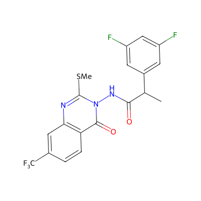 CSc1nc2cc(C(F)(F)F)ccc2c(=O)n1NC(=O)C(C)c1cc(F)cc(F)c1